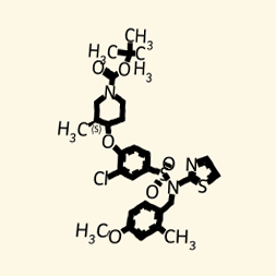 COc1ccc(CN(c2nccs2)S(=O)(=O)c2ccc(OC3CCN(C(=O)OC(C)(C)C)C[C@@H]3C)c(Cl)c2)c(C)c1